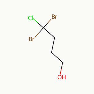 OCCCC(Cl)(Br)Br